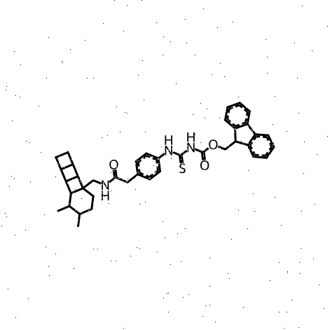 CC1CCC2(CNC(=O)Cc3ccc(NC(=S)NC(=O)OCC4c5ccccc5-c5ccccc54)cc3)C(C1C)C1C3CCC3C12